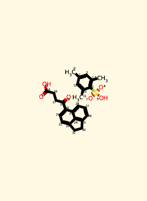 Cc1cc(C)c(S(=O)(=O)O)c(C)c1.O=C(O)CCC(=O)c1ccc2c3c(cccc13)CC2